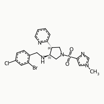 Cn1cnc(S(=O)(=O)N2C[C@@H](NCc3ccc(Cl)cc3Br)[C@H](c3ccccn3)C2)c1